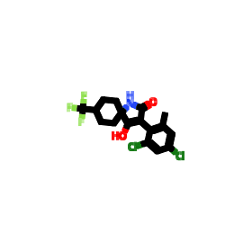 Cc1cc(Cl)cc(Cl)c1C1=C(O)C2(CCC(C(F)(F)F)CC2)NC1=O